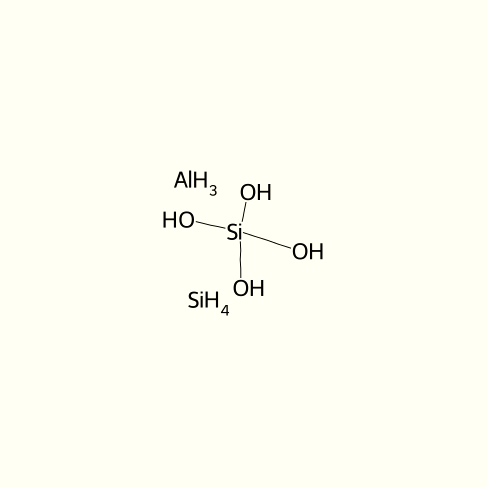 O[Si](O)(O)O.[AlH3].[SiH4]